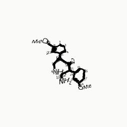 COc1cccc(C(CN)C(=O)C(CN)c2cccc(OC)c2)c1